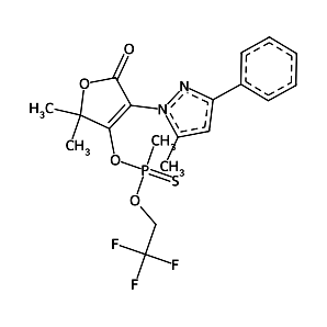 Cc1cc(-c2ccccc2)nn1C1=C(OP(C)(=S)OCC(F)(F)F)C(C)(C)OC1=O